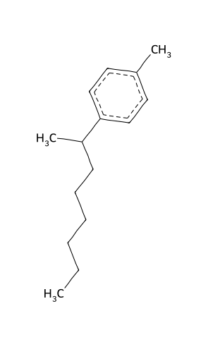 CCCCCCC(C)c1ccc(C)cc1